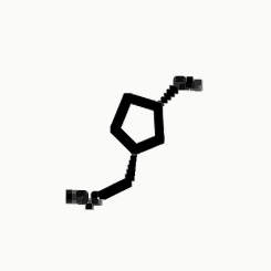 CC(=O)O[C@H]1CC[C@@H](CC(=O)O)C1